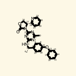 Cc1nc(N[C@@H](C)c2ccc(Oc3ccccc3)cc2)nc(N2C(=O)OC[C@@H]2c2ccccn2)n1